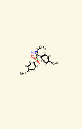 COc1ccc(C2(S(=O)(=O)c3ccc(OC)cc3)NC2C)cc1